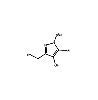 CCCCn1nc(CC(C)C)c(O)c1C(C)C